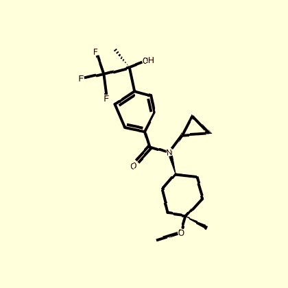 CO[C@]1(C)CC[C@@H](N(C(=O)c2ccc([C@](C)(O)C(F)(F)F)cc2)C2CC2)CC1